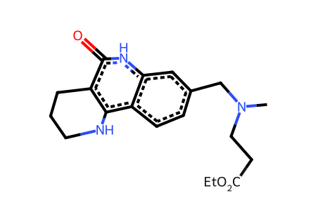 CCOC(=O)CCN(C)Cc1ccc2c3c(c(=O)[nH]c2c1)CCCN3